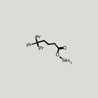 CC(C)C(CCCC(=O)O[SiH3])(C(C)C)C(C)C